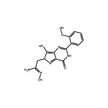 CCCOc1ccccc1-c1nc2c(CCC)n(CC(N)=NO)nc2c(=O)[nH]1